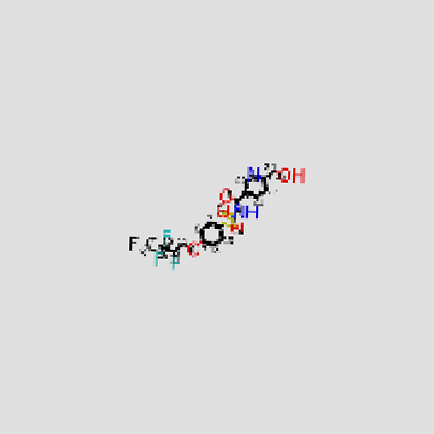 O=C(NS(=O)(=O)c1ccc(OCC(F)C(F)(F)C(F)(F)F)cc1)c1ccc(CO)nc1